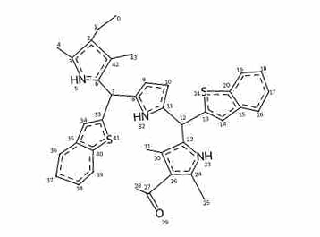 CCc1c(C)[nH]c(C(c2ccc(C(c3cc4ccccc4s3)c3[nH]c(C)c(C(C)=O)c3C)[nH]2)c2cc3ccccc3s2)c1C